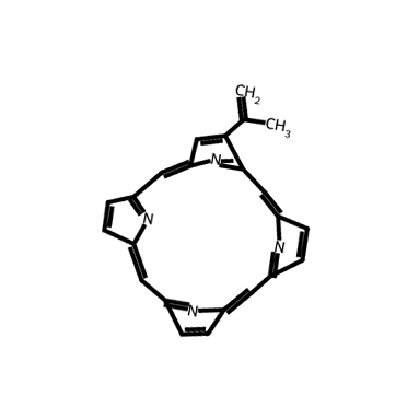 C=C(C)C1=CC2=CC3=NC(=CC4=NC(=CC5=NC(=CC1=N2)C=C5)C=C4)C=C3